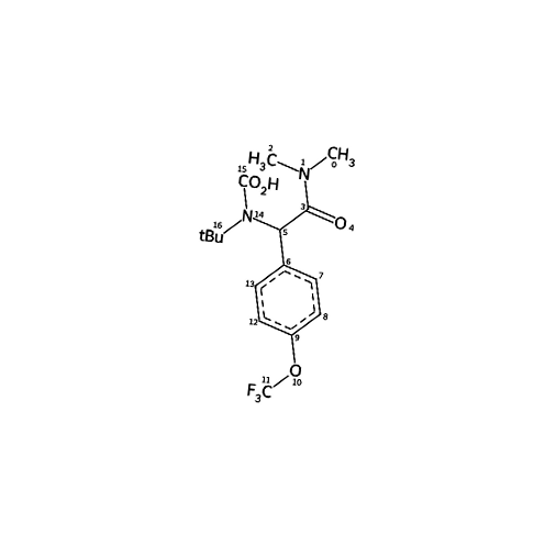 CN(C)C(=O)C(c1ccc(OC(F)(F)F)cc1)N(C(=O)O)C(C)(C)C